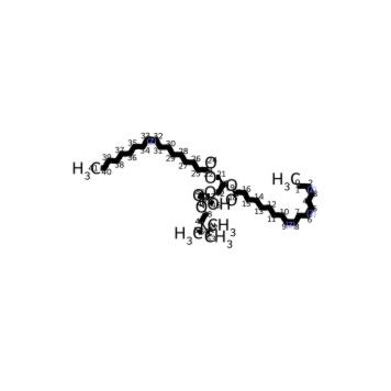 CC/C=C\C/C=C\C/C=C\CCCCCCCC(=O)O[C@H](COC(=O)CCCCCCC/C=C\CCCCCCCC)COP(=O)(O)OCC[N+](C)(C)C